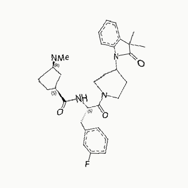 CN[C@@H]1CC[C@H](C(=O)N[C@@H](Cc2cccc(F)c2)C(=O)N2CCC(N3C(=O)C(C)(C)c4ccccc43)CC2)C1